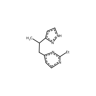 CCc1nccc(CC(C)c2cc[nH]n2)n1